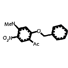 CNc1cc(OCc2ccccc2)c(C(C)=O)cc1[N+](=O)[O-]